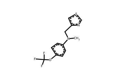 CN(Cc1cs[c]n1)c1ccc(OC(F)(F)F)cc1